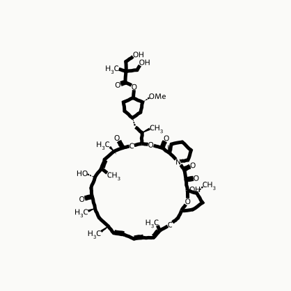 CO[C@@H]1C[C@H](C[C@@H](C)C2CC(=O)[C@H](C)/C=C(\C)[C@@H](O)CC(=O)[C@H](C)C[C@H](C)/C=C/C=C/C=C(\C)CCC3CC[C@@H](C)[C@@](O)(O3)C(=O)C(=O)N3CCCC[C@H]3C(=O)O2)CCC1OC(=O)C(C)(CO)CO